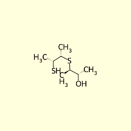 C[C@H](O)[C@@H](C)S[C@@H](C)[C@@H](C)S